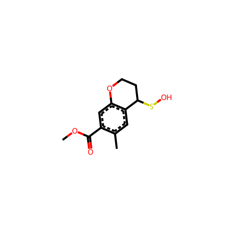 COC(=O)c1cc2c(cc1C)C(SO)CCO2